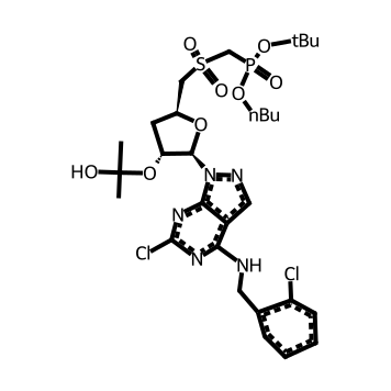 CCCCOP(=O)(CS(=O)(=O)C[C@@H]1C[C@@H](OC(C)(C)O)[C@H](n2ncc3c(NCc4ccccc4Cl)nc(Cl)nc32)O1)OC(C)(C)C